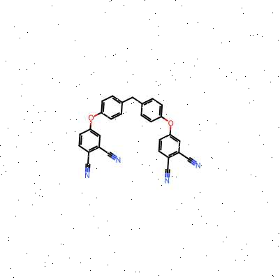 N#Cc1ccc(Oc2ccc(Cc3ccc(Oc4ccc(C#N)c(C#N)c4)cc3)cc2)cc1C#N